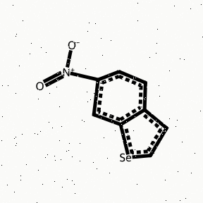 O=[N+]([O-])c1ccc2cc[se]c2c1